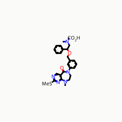 CSc1ncc2c(n1)N(C)CCN(c1cccc(COC(CN(C)C(=O)O)c3ccccc3)c1)C2=O